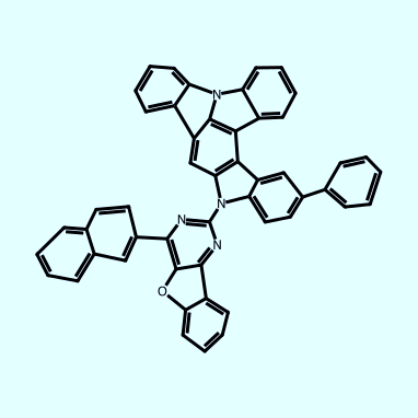 c1ccc(-c2ccc3c(c2)c2c4c5ccccc5n5c6ccccc6c(cc2n3-c2nc(-c3ccc6ccccc6c3)c3oc6ccccc6c3n2)c45)cc1